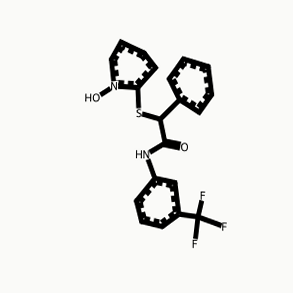 O=C(Nc1cccc(C(F)(F)F)c1)C(Sc1cccc[n+]1O)c1ccccc1